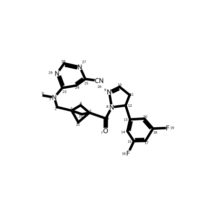 CN(CC12CC(C(=O)N3N=CCC3c3cc(F)cc(F)c3)(C1)C2)c1cc(C#N)ncn1